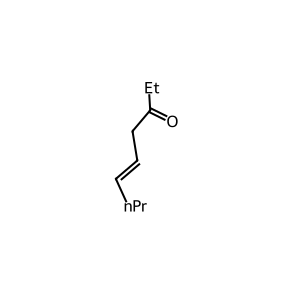 CCCC=CCC(=O)CC